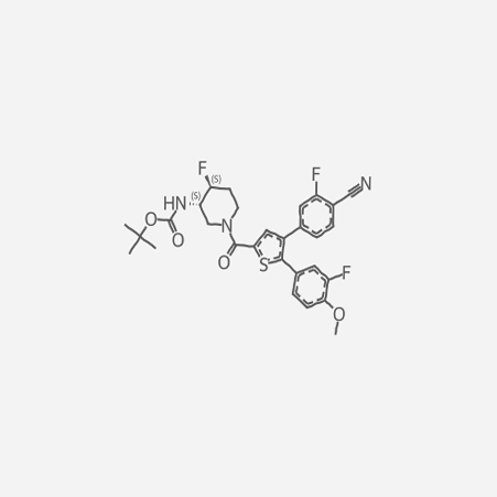 COc1ccc(-c2sc(C(=O)N3CC[C@H](F)[C@@H](NC(=O)OC(C)(C)C)C3)cc2-c2ccc(C#N)c(F)c2)cc1F